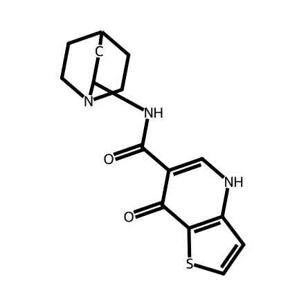 O=C(NC1CC2CCN1CC2)c1c[nH]c2ccsc2c1=O